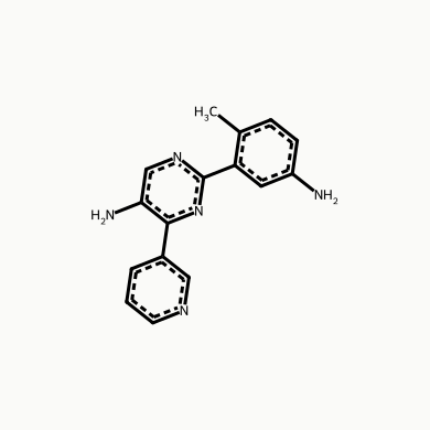 Cc1ccc(N)cc1-c1ncc(N)c(-c2cccnc2)n1